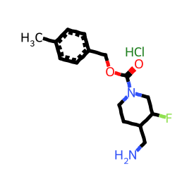 Cc1ccc(COC(=O)N2CCC(CN)C(F)C2)cc1.Cl